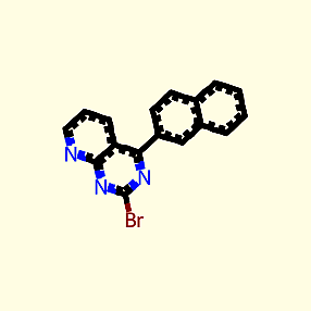 Brc1nc(-c2ccc3ccccc3c2)c2cccnc2n1